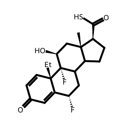 CC[C@]12C=CC(=O)C=C1[C@@H](F)CC1C3CC[C@H](C(=O)S)[C@@]3(C)C[C@H](O)[C@@]12F